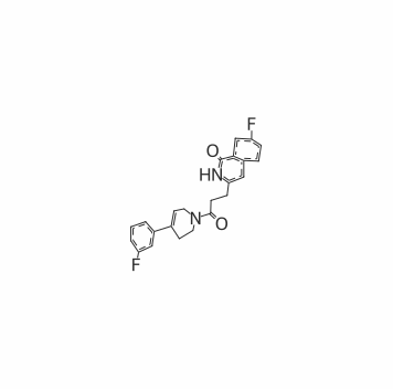 O=C(CCc1cc2ccc(F)cc2c(=O)[nH]1)N1CC=C(c2cccc(F)c2)CC1